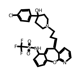 O=S(=O)(NC1C=CC=C2Oc3ncccc3C(=CCCN3CCC(O)(c4ccc(Cl)cc4)CC3)C=C21)C(F)(F)F